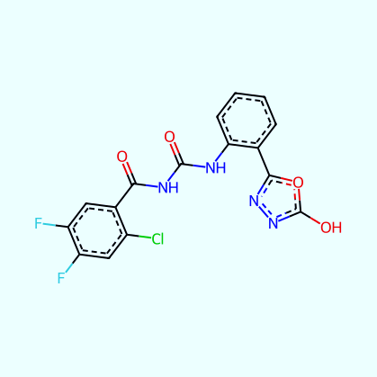 O=C(NC(=O)c1cc(F)c(F)cc1Cl)Nc1ccccc1-c1nnc(O)o1